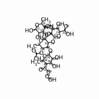 CC(=O)O[C@@H]1C(C)O[C@@H](O[C@@H]2C(O)C(O)OC(C)[C@H]2O)C(O[C@H]2OC(C(=O)O)[C@@H](O)[C@@H](O)C2O)[C@H]1O[C@@H]1OC(C)[C@@H](S(=O)OOO)[C@H](O)C1O